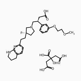 COCCOc1cccc([C@H](CC(=O)O)CN2CC[C@@](F)(CCc3ccc4c(n3)NCCC4)C2)c1.O=C(O)CC(O)(CC(=O)O)C(=O)O